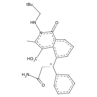 Cc1c(C(=O)O)c2c([C@@H](CC(N)=O)c3ccccc3)cccc2c(=O)n1NCC(C)(C)C